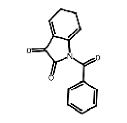 O=C1C(=O)N(C(=O)c2ccccc2)C2=CCCC=C12